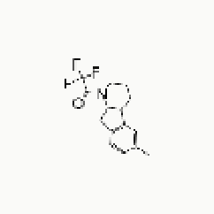 Cc1ccc2c(c1)C1CCCN(C(=O)C(F)(F)F)C1C2